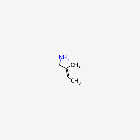 C/C=C(\C)CN